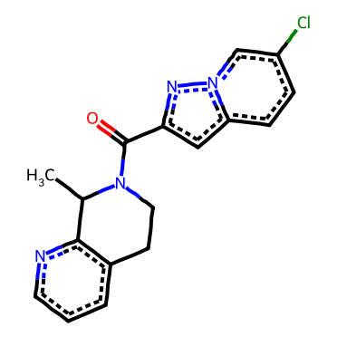 CC1c2ncccc2CCN1C(=O)c1cc2ccc(Cl)cn2n1